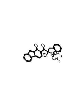 CCC(Cc1ccccc1)(C(=O)C1=CC=C2C(=Cc3ccccc32)C1=O)N(C)C